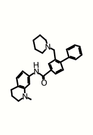 CN1CCCc2ccc(NC(=O)c3ccc(-c4ccccc4)c(CN4CCCCC4)c3)cc21